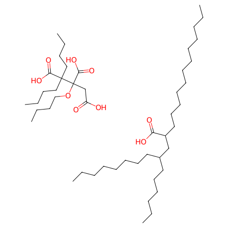 CCCCCCCCCCCCC(CC(CCCCCC)CCCCCCCC)C(=O)O.CCCCOC(CC(=O)O)(C(=O)O)C(CCCC)(CCCC)C(=O)O